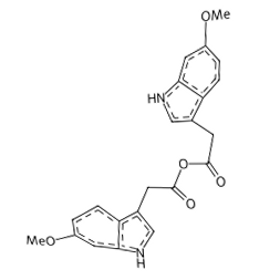 COc1ccc2c(CC(=O)OC(=O)Cc3c[nH]c4cc(OC)ccc34)c[nH]c2c1